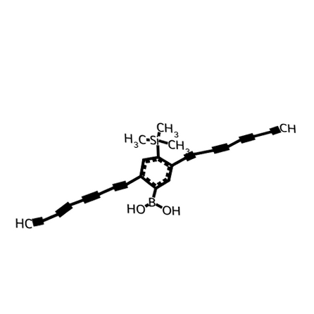 C#CC#CC#CC#Cc1cc([Si](C)(C)C)c(C#CC#CC#CC#C)cc1B(O)O